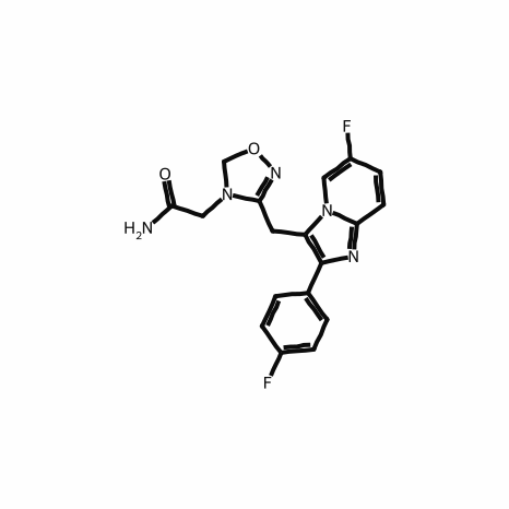 NC(=O)CN1CON=C1Cc1c(-c2ccc(F)cc2)nc2ccc(F)cn12